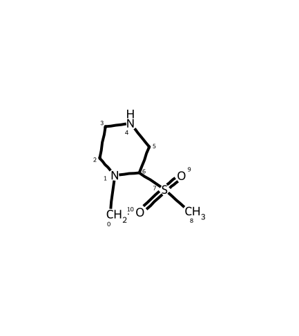 [CH2]N1CCNCC1S(C)(=O)=O